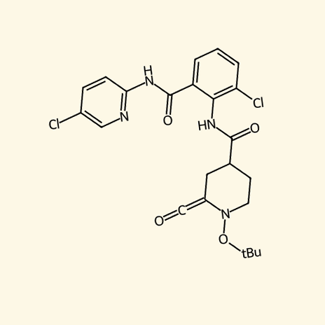 CC(C)(C)ON1CCC(C(=O)Nc2c(Cl)cccc2C(=O)Nc2ccc(Cl)cn2)CC1=C=O